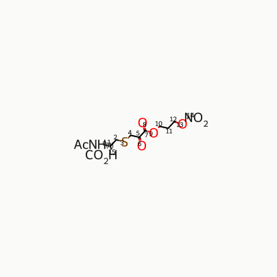 CC(=O)N[C@@H](CSCC(=O)C(=O)OCCCO[N+](=O)[O-])C(=O)O